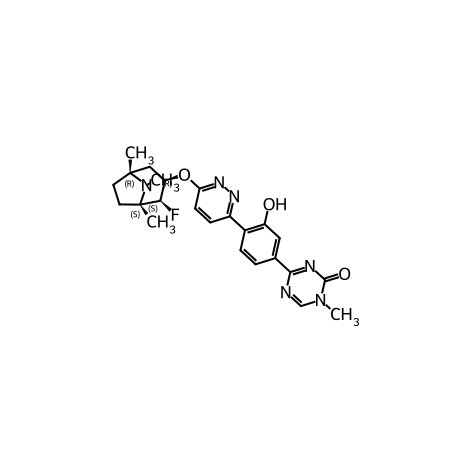 CN1[C@]2(C)CC[C@@]1(C)[C@H](F)[C@H](Oc1ccc(-c3ccc(-c4ncn(C)c(=O)n4)cc3O)nn1)C2